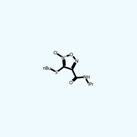 CCCCSc1c(C(=O)NC(C)C)no[n+]1[O-]